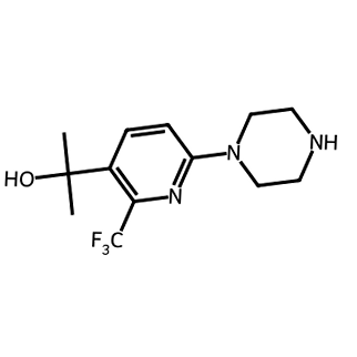 CC(C)(O)c1ccc(N2CCNCC2)nc1C(F)(F)F